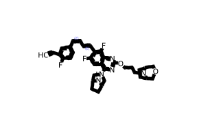 C#Cc1cc(/C=C\C=C\c2c(F)cc3c(N4CC5CCC(C4)N5)nc(OCCCN4C5CCC4COC5)nc3c2F)ccc1F